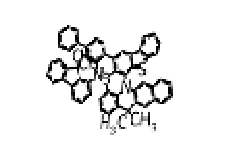 CC1(C)c2cc3ccccc3cc2N2c3c(cccc31)B1c3c(cc4c(sc5ccccc54)c32)-c2ccc(-c3ccccc3)cc2N1c1cccc2c1C(C)(C)c1ccccc1-2